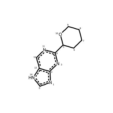 c1nc2nc(C3CCCCO3)ncc2[nH]1